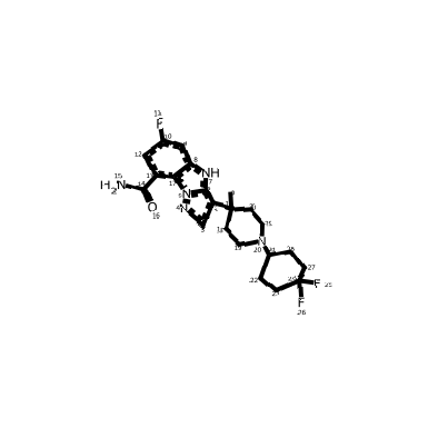 CC1(c2cnn3c2[nH]c2cc(F)cc(C(N)=O)c23)CCN(C2CCC(F)(F)CC2)CC1